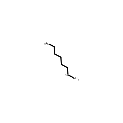 CCCCCCC[CH2][Sn][NH2]